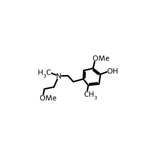 COCCN(C)CCc1cc(OC)c(O)cc1C